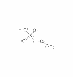 CS(=O)(=O)CON